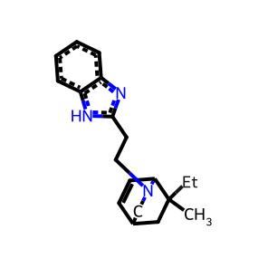 CCC1(C)CC2C=CC1N(CCc1nc3ccccc3[nH]1)C2